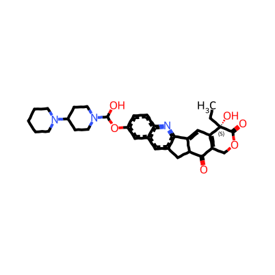 CC[C@@]1(O)C(=O)OCC2=C1C=C1c3nc4ccc(OC(O)N5CCC(N6CCCCC6)CC5)cc4cc3CC1C2=O